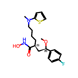 CO[C@H](C[C@H](CCCCN(C)c1cccs1)C(=O)NO)c1ccc(F)cc1